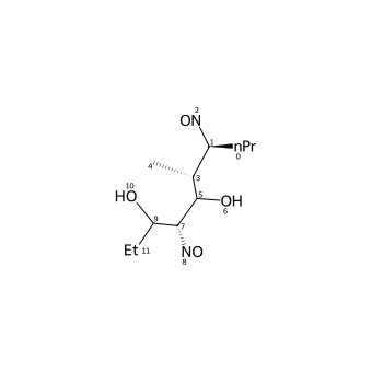 CCC[C@H](N=O)[C@@H](C)C(O)[C@H](N=O)C(O)CC